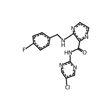 O=C(Nc1ncc(Cl)cn1)c1nccnc1NCc1ccc(F)cc1